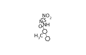 Cc1cc(C(=O)Nc2ncc([N+](=O)[O-])s2)ccc1-c1ccccc1